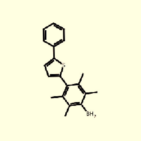 Bc1c(C)c(C)c(-c2ccc(-c3ccccc3)s2)c(C)c1C